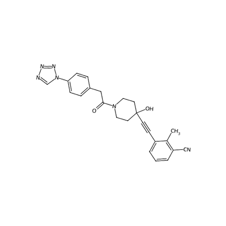 Cc1c(C#N)cccc1C#CC1(O)CCN(C(=O)Cc2ccc(-n3cnnn3)cc2)CC1